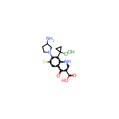 Cl.NC1CCN(c2c(F)cc3c(=O)c(C(=O)O)c[nH]c3c2C2(Cl)CC2)C1